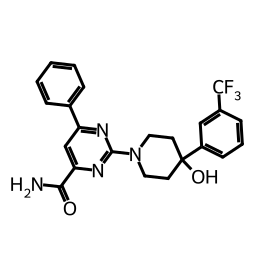 NC(=O)c1cc(-c2ccccc2)nc(N2CCC(O)(c3cccc(C(F)(F)F)c3)CC2)n1